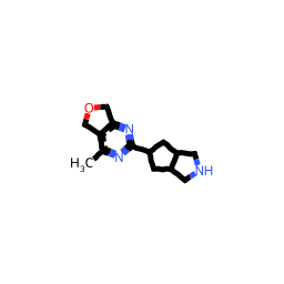 Cc1nc(C2CC3CNCC3C2)nc2c1COC2